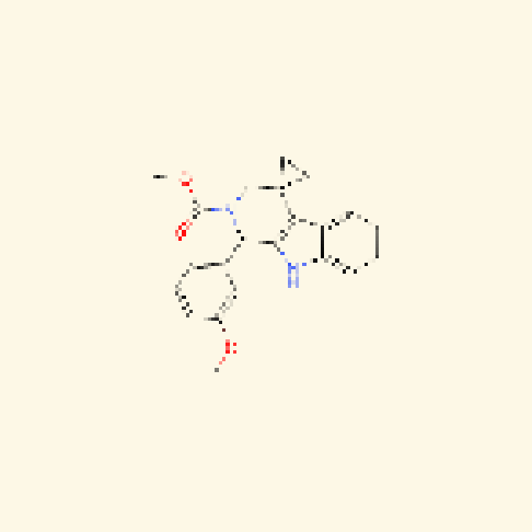 COC(=O)N1CC2(CC2)c2c([nH]c3ccccc23)C1c1cccc(OC)c1